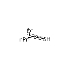 CCC[S+]([O-])B=BS